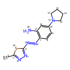 CCc1nnc(N=Nc2ccc(N3CCCC3)cc2N)s1